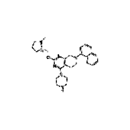 CN1CCC[C@H]1COc1nc2c(c(N3CCNCC3)n1)CCN(c1cccc3ccccc13)C2